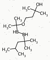 CC(C)CC(C)(C)BBC(C)(C)OCCC(C)(C)O